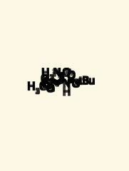 CC(C)(C)OC(=O)NC(CCS(C)(=O)=O)C(N)=O